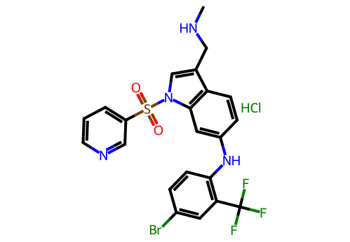 CNCc1cn(S(=O)(=O)c2cccnc2)c2cc(Nc3ccc(Br)cc3C(F)(F)F)ccc12.Cl